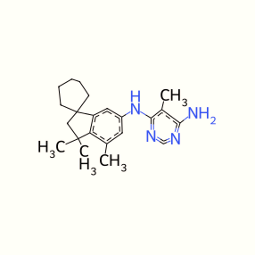 Cc1cc(Nc2ncnc(N)c2C)cc2c1C(C)(C)CC21CCCCC1